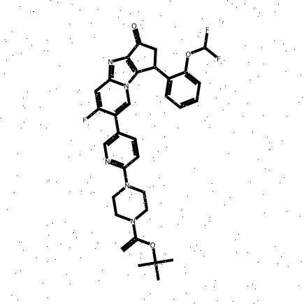 C=C(OC(C)(C)C)N1CCN(c2ccc(-c3cn4c5c(nc4cc3F)C(=O)CC5c3ccccc3OC(F)F)cn2)CC1